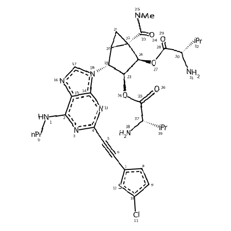 CCCNc1nc(C#Cc2ccc(Cl)s2)nc2c1ncn2[C@@H]1C2C[C@@]2(C(=O)NC)[C@@H](OC(=O)[C@@H](N)C(C)C)[C@H]1OC(=O)[C@@H](N)C(C)C